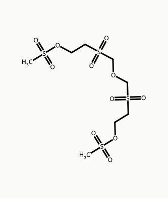 CS(=O)(=O)OCCS(=O)(=O)COCS(=O)(=O)CCOS(C)(=O)=O